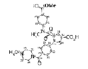 COC(=O)c1ccc(N(C)S(=O)(=O)c2cc(C(=O)O)sc2-c2ccc(C(=O)N3CCN(C)CC3)cc2)cc1